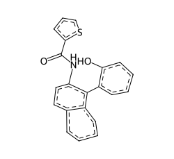 O=C(Nc1ccc2ccccc2c1-c1ccccc1O)c1cccs1